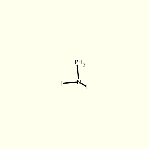 PN(I)I